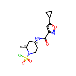 C[C@H]1C[C@@H](NC(=O)c2cc(C3CC3)on2)CCN1S(=O)(=O)Cl